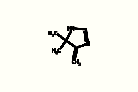 C=C1N=CNC1(C)C